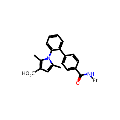 CCNC(=O)c1ccc(-c2ccccc2-n2c(C)cc(C(=O)O)c2C)cc1